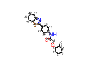 Cc1ccccc1OCC(=O)Nc1ccc(-c2nc3ccccc3s2)cc1